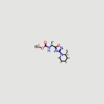 C[C@H](NC(=O)OC(C)(C)C)c1nc(N2CCCC[C@@H]2C)no1